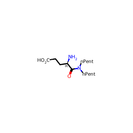 CCCCCN(CCCCC)C(=O)[C@H](N)CCC(=O)O